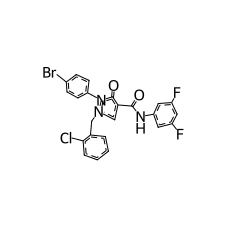 O=C(Nc1cc(F)cc(F)c1)c1cn(Cc2ccccc2Cl)n(-c2ccc(Br)cc2)c1=O